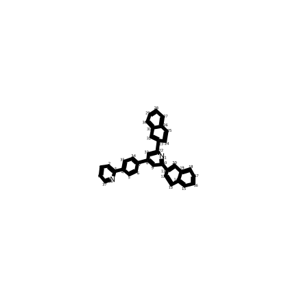 c1ccc(-c2ccc(-c3cc(-c4ccc5ccccc5c4)nc(-c4ccc5ccccc5c4)c3)cc2)nc1